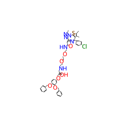 Cc1sc2c(c1C)C(c1ccc(Cl)cc1)=N[C@@H](CC(=O)NCCOCCOCCNC[C@@H](O)COc1ccc(OCc3ccccc3)c(OCc3ccccc3)c1)c1nnc(C)n1-2